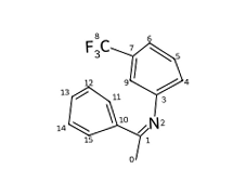 CC(=Nc1cccc(C(F)(F)F)c1)c1ccccc1